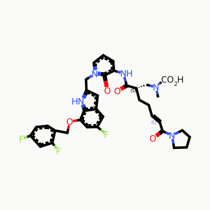 CN(C[C@H](CC/C=C/C(=O)N1CCCC1)C(=O)Nc1cccn(Cc2cc3cc(F)cc(OCc4ccc(F)cc4F)c3[nH]2)c1=O)C(=O)O